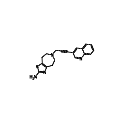 Nc1nc2c(s1)CCN(CC#Cc1cnc3ccccc3c1)CC2